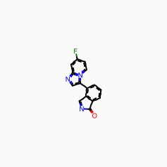 O=C1N=Cc2c1cccc2-c1cnc2cc(F)ccn12